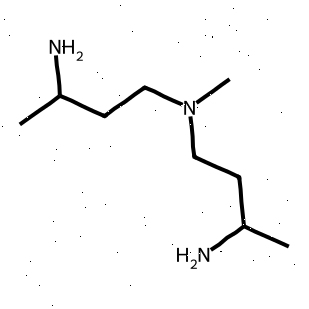 CC(N)CCN(C)CCC(C)N